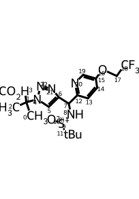 CC(C)(C(=O)O)n1cc(C(N[S@@+]([O-])C(C)(C)C)c2ccc(OCC(F)(F)F)cn2)nn1